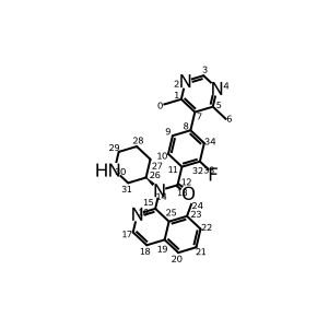 Cc1ncnc(C)c1-c1ccc(C(=O)N(c2nccc3cccc(C)c23)[C@@H]2CCCNC2)c(F)c1